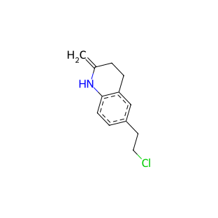 C=C1CCc2cc(CCCl)ccc2N1